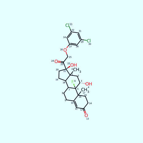 CC12C[C@H](O)[C@@]3(F)C(CCC4=CC(=O)CCC43C)C1CC[C@]2(O)C(=O)COc1cc(Cl)cc(Cl)c1